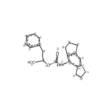 CC(Cc1cccnc1)OC(=O)Nc1c2c(cc3c1CCC3)CCC2